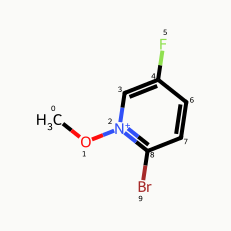 CO[n+]1cc(F)ccc1Br